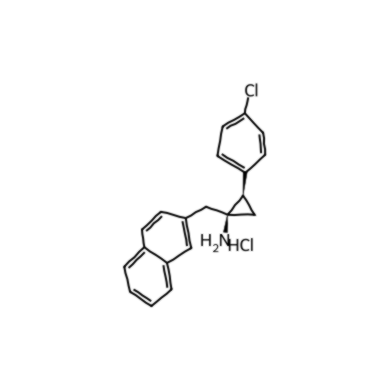 Cl.N[C@]1(Cc2ccc3ccccc3c2)C[C@@H]1c1ccc(Cl)cc1